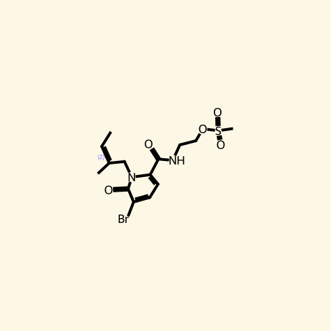 C/C=C(/C)Cn1c(C(=O)NCCOS(C)(=O)=O)ccc(Br)c1=O